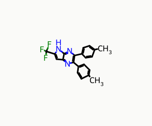 Cc1ccc(-c2nc3cc(C(F)(F)F)[nH]c3nc2-c2ccc(C)cc2)cc1